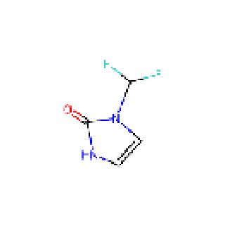 O=c1[nH]ccn1C(F)F